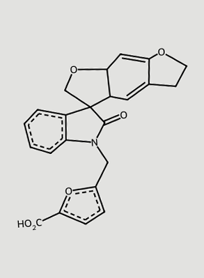 O=C(O)c1ccc(CN2C(=O)C3(COC4C=C5OCCC5=CC43)c3ccccc32)o1